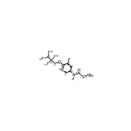 Cc1cc(C(C)NSC(C)(C)C)cnc1OCC(F)(F)C(F)F